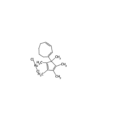 CC1=C(C)C(C)(C2=CC=CCCCC2)C(C)=C1C.[Cl][Ru][Cl]